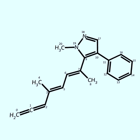 C=C=C/C(C)=C/C=C(\C)c1c(-c2ccccc2)cnn1C